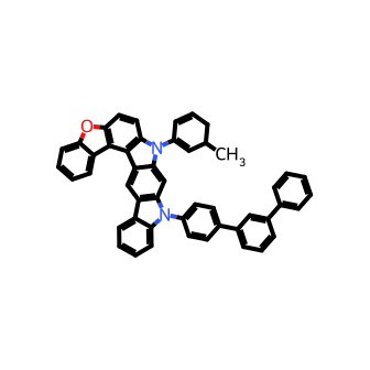 CC1C=C(n2c3cc4c(cc3c3c5c(ccc32)oc2ccccc25)c2ccccc2n4-c2ccc(-c3cccc(-c4ccccc4)c3)cc2)C=CC1